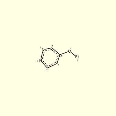 CCOc1ccnnc1